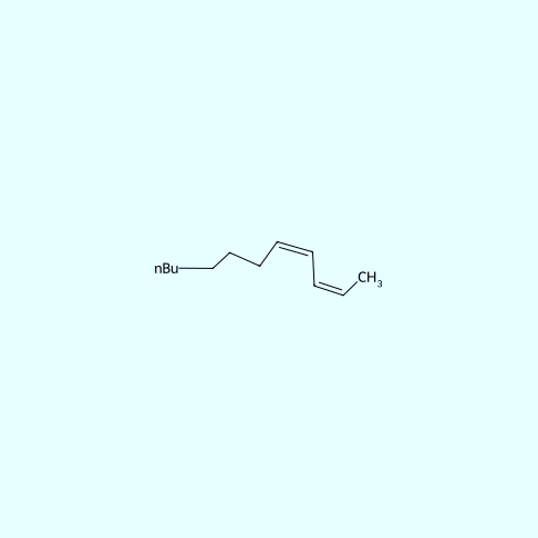 [CH2]CCCCCC/C=C\C=C/C